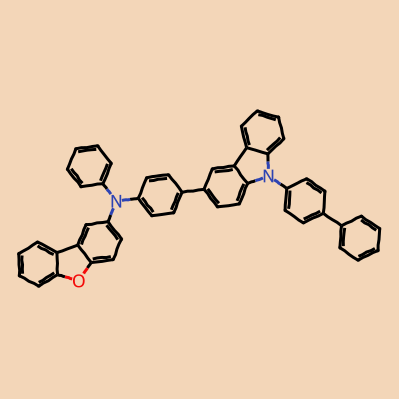 c1ccc(-c2ccc(-n3c4ccccc4c4cc(-c5ccc(N(c6ccccc6)c6ccc7oc8ccccc8c7c6)cc5)ccc43)cc2)cc1